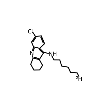 [2H]CCCCCCNc1c2c(nc3cc(Cl)ccc13)CCCC2